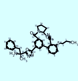 CCCSc1cccc(-c2cc(C(=O)N3CCCC3C)cc(-c3nnc([C@](C)(N)Cc4ccccc4)o3)c2)c1C#N